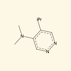 CC(C)c1cnncc1N(C)C